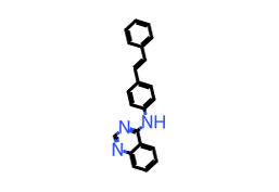 C(=Cc1ccc(Nc2ncnc3ccccc23)cc1)c1ccccc1